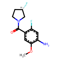 COc1cc(C(=O)N2CC[C@H](F)C2)c(F)cc1N